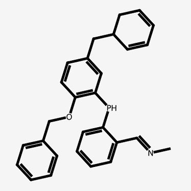 C/N=C/c1ccccc1Pc1cc(CC2C=CC=CC2)ccc1OCc1ccccc1